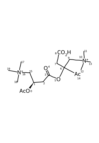 CC(=O)O[C@H](CC(=O)OC(CC(=O)O)(C[N+](C)(C)C)C(C)=O)C[N+](C)(C)C